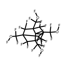 FOC(F)(F)C12C(F)(F)C3(C(F)(F)OF)C(F)(F)C(C(F)(F)OF)(C1(F)F)C(F)(F)C(C(F)(F)OF)(C2(F)F)C3(F)F